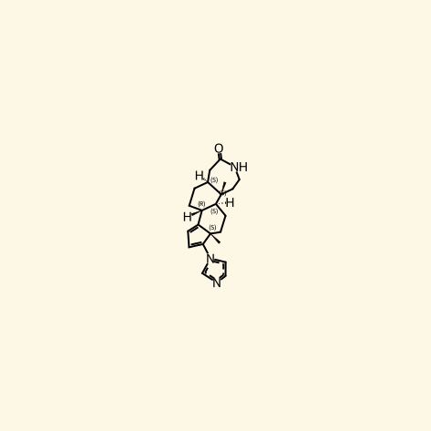 C[C@]12CC[C@H]3[C@@H](CC[C@H]4CC(=O)NCC[C@@]43C)C1=CC=C2n1ccnc1